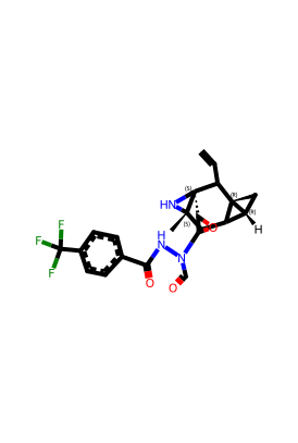 C=CC1[C@]23C[C@@H]2C3C[C@]2(C)N[C@@]12C1OC1N(C=O)NC(=O)c1ccc(C(F)(F)F)cc1